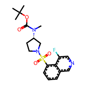 CN(C(=O)OC(C)(C)C)[C@H]1CCN(S(=O)(=O)c2cccc3cncc(F)c23)C1